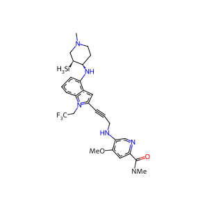 CNC(=O)c1cc(OC)c(NCC#Cc2cc3c(N[C@@H]4CCN(C)C[C@@H]4[SiH3])cccc3n2CC(F)(F)F)cn1